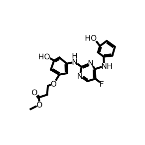 COC(=O)CCOc1cc(O)cc(Nc2ncc(F)c(Nc3cccc(O)c3)n2)c1